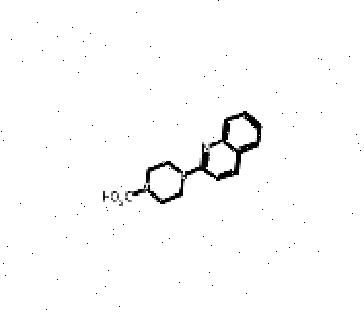 O=C(O)N1CCN(c2ccc3ccccc3n2)CC1